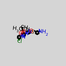 CC(C)(C)COc1c(N2CCN(OSCc3cccc(N)c3)CC2)cnn(-c2cccc(Cl)c2)c1=O